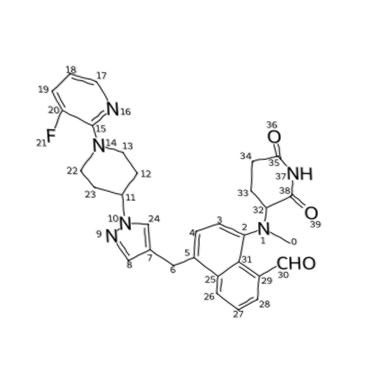 CN(c1ccc(Cc2cnn(C3CCN(c4ncccc4F)CC3)c2)c2cccc(C=O)c12)C1CCC(=O)NC1=O